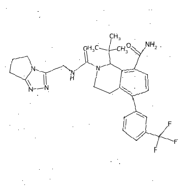 CC(C)(C)C1c2c(C(N)=O)ccc(-c3cccc(C(F)(F)F)c3)c2CCN1C(=O)NCc1nnc2n1CCC2